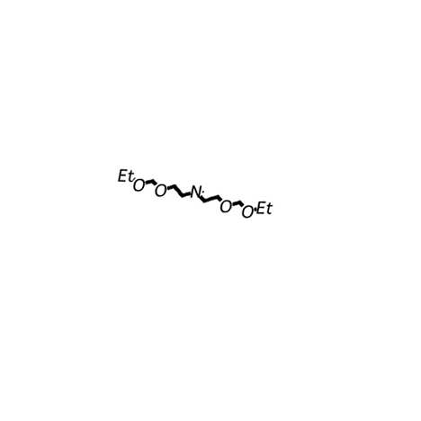 CCOCOCC[N]CCOCOCC